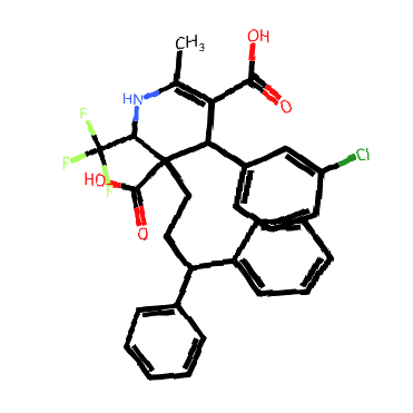 CC1=C(C(=O)O)C(c2cccc(Cl)c2)C(CCC(c2ccccc2)c2ccccc2)(C(=O)O)C(C(F)(F)F)N1